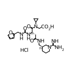 Cl.N=C(N)N1CCC[C@@H](CNC(=O)C[C@H](NC(=O)NCc2ccco2)C(=O)N(CC(=O)O)C2CC2)C1